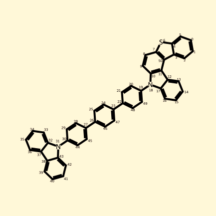 c1ccc2c(c1)sc1ccc3c(c4ccccc4n3-c3ccc(-c4ccc(-c5ccc(-n6c7ccccc7c7ccccc76)cc5)cc4)cc3)c12